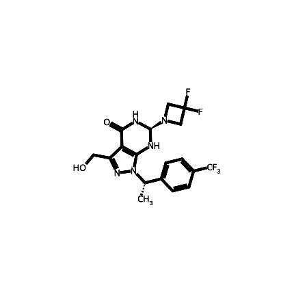 C[C@@H](c1ccc(C(F)(F)F)cc1)n1nc(CO)c2c1N[C@H](N1CC(F)(F)C1)NC2=O